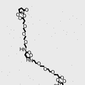 O=C(/C=C\C(=O)NCCOCCOCCOCCC(=O)ON1C(=O)CCC1=O)NCCOCCOCCOCCC(=O)ON1C(=O)CCC1=O